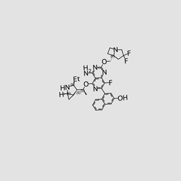 CC[C@@H]1N[C@H]2CC2[C@@H]1[C@H](C)Oc1nc(-c2cc(O)cc3ccccc23)c(F)c2nc(OC[C@]34CCN3CC(F)(F)C4)nc(N)c12